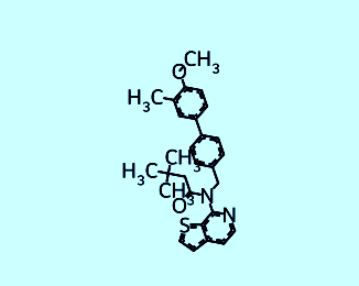 COc1ccc(-c2ccc(CN(C(=O)CC(C)(C)C)c3nccc4ccsc34)cc2)cc1C